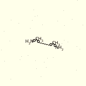 CC(c1ccc(N)cc1)c1ccc(CCCCCCCCCc2ccc(C(C)c3ccc(N)cc3)cc2)cc1